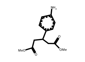 COC(=O)CC(CC(=O)OC)c1ccc(N)cc1